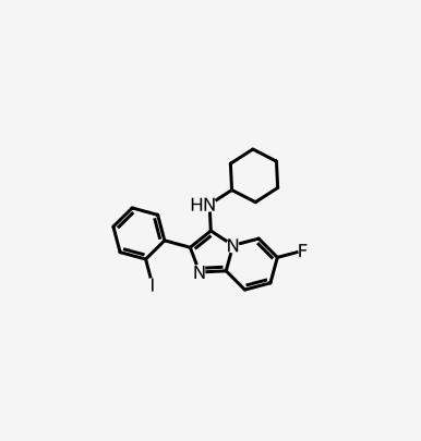 Fc1ccc2nc(-c3ccccc3I)c(NC3CCCCC3)n2c1